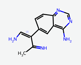 CC(=N)/C(=C\N)c1ccc2ncnc(N)c2c1